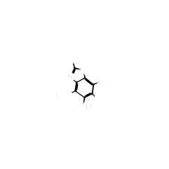 Cc1nc2c(C)c(C)c(C)c(C)c2o1